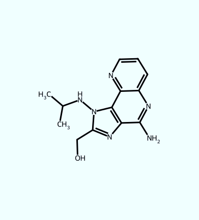 CC(C)Nn1c(CO)nc2c(N)nc3cccnc3c21